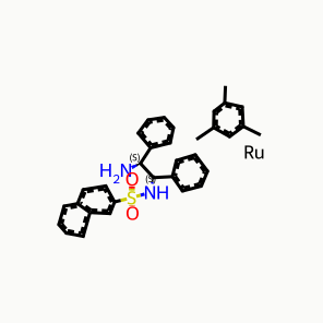 Cc1cc(C)cc(C)c1.N[C@@H](c1ccccc1)[C@@H](NS(=O)(=O)c1ccc2ccccc2c1)c1ccccc1.[Ru]